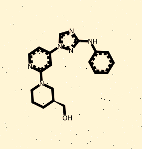 OC[C@H]1CCCN(c2cc(-n3cnc(Nc4ccccc4)n3)ccn2)C1